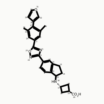 Cc1cc(-c2nc(-c3ccc4c(c3)CCC4N[C@H]3C[C@H](C(=O)O)C3)no2)cc(C)c1-c1ccoc1